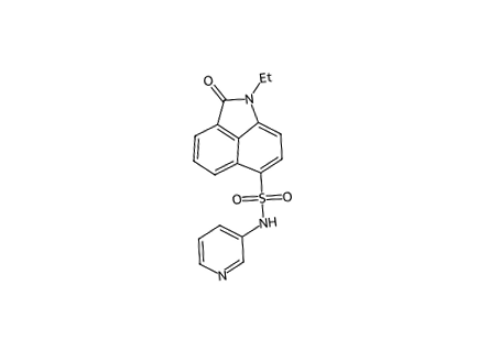 CCN1C(=O)c2cccc3c(S(=O)(=O)Nc4cccnc4)ccc1c23